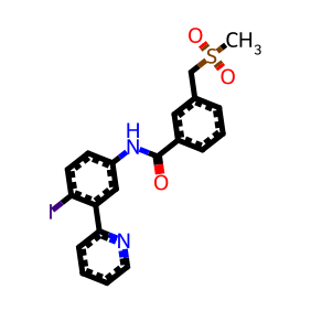 CS(=O)(=O)Cc1cccc(C(=O)Nc2ccc(I)c(-c3ccccn3)c2)c1